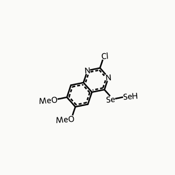 COc1cc2nc(Cl)nc([Se][SeH])c2cc1OC